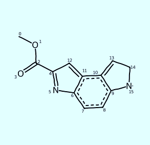 COC(=O)C1=Nc2ccc3c(c2=C1)=CC[N]3